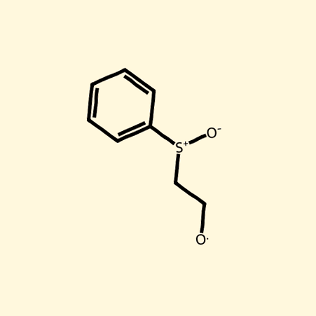 [O]CC[S+]([O-])c1ccccc1